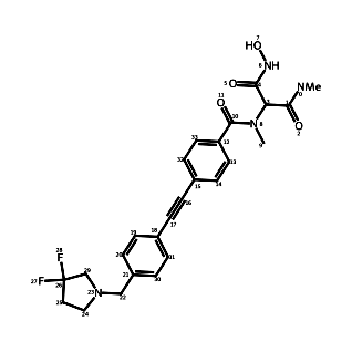 CNC(=O)C(C(=O)NO)N(C)C(=O)c1ccc(C#Cc2ccc(CN3CCC(F)(F)C3)cc2)cc1